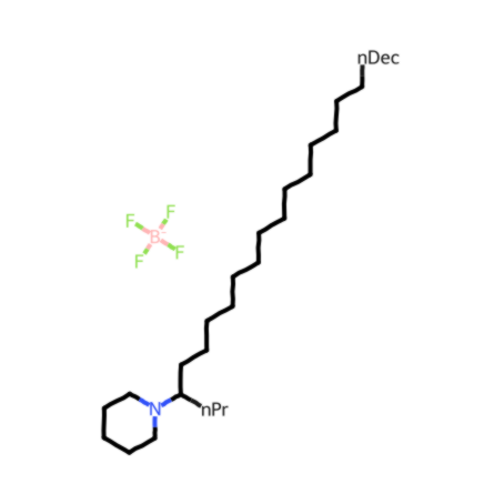 CCCCCCCCCCCCCCCCCCCCCCCCC(CCC)N1CCCCC1.F[B-](F)(F)F